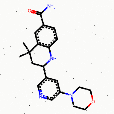 CC1(C)CC(c2cncc(N3CCOCC3)c2)Nc2ccc(C(N)=O)cc21